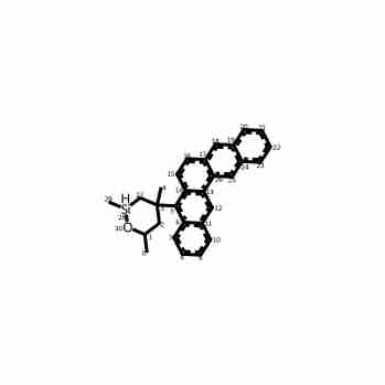 CC1CC(C)(c2c3ccccc3cc3c2ccc2cc4ccccc4cc23)C[SiH](C)O1